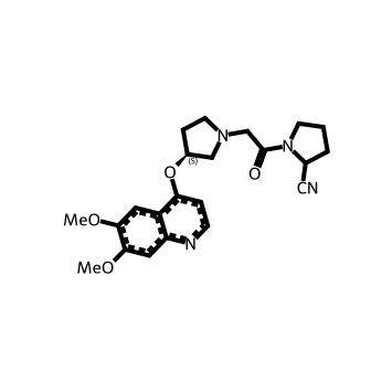 COc1cc2nccc(O[C@H]3CCN(CC(=O)N4CCCC4C#N)C3)c2cc1OC